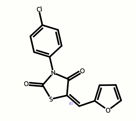 O=C1S/C(=C/c2ccco2)C(=O)N1c1ccc(Cl)cc1